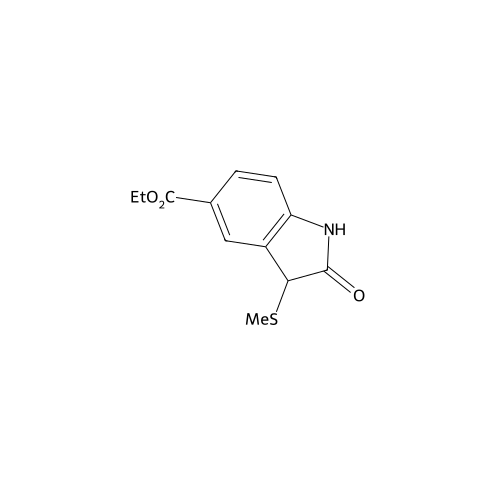 CCOC(=O)c1ccc2c(c1)C(SC)C(=O)N2